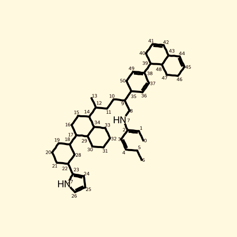 C/C=C(\C=C/CC)NCC(CCC(C)C1CCC(C2CCCC(c3ccc[nH]3)C2)C2CCCCC12)C1C=CC(C2CC=CC3C=CCCC32)=CC1